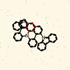 c1ccc(-c2ccccc2N(c2ccccc2-c2c(-n3c4ccccc4c4ccccc43)ccc3ccccc23)c2cccc3oc4ccccc4c23)cc1